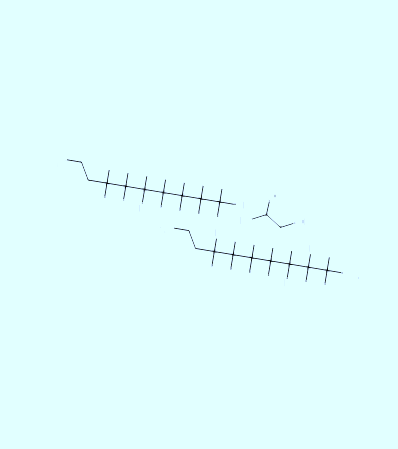 CCC(O)CO.O=S(=O)(O)CCC(F)(F)C(F)(F)C(F)(F)C(F)(F)C(F)(F)C(F)(F)C(F)(F)C(F)(F)F.O=S(=O)(O)CCC(F)(F)C(F)(F)C(F)(F)C(F)(F)C(F)(F)C(F)(F)C(F)(F)C(F)(F)F